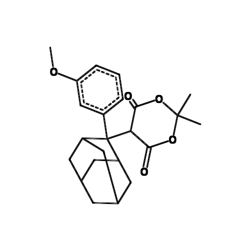 COc1cccc(C2(C3C(=O)OC(C)(C)OC3=O)C3CC4CC(C3)CC2C4)c1